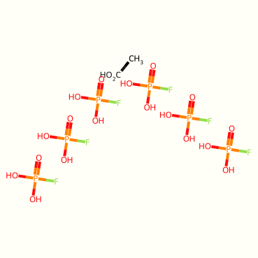 CC(=O)O.O=P(O)(O)F.O=P(O)(O)F.O=P(O)(O)F.O=P(O)(O)F.O=P(O)(O)F.O=P(O)(O)F